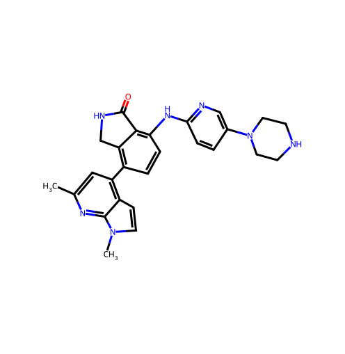 Cc1cc(-c2ccc(Nc3ccc(N4CCNCC4)cn3)c3c2CNC3=O)c2ccn(C)c2n1